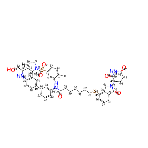 Cc1ccc(S(=O)(=O)N2CC[C@@H]3[C@H](CO)Nc4ccc(-c5cccc(NC(=O)CCCCCCSc6cccc7c6CN(C6CCC(=O)NC6=O)C7=O)c5)cc4[C@@H]32)cc1